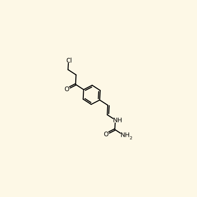 NC(=O)NC=Cc1ccc(C(=O)CCCl)cc1